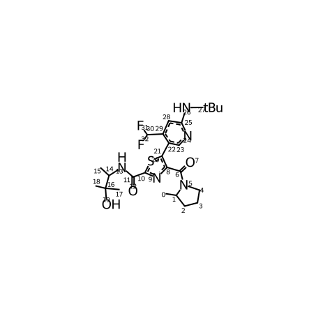 CC1CCCN1C(=O)c1nc(C(=O)NC(C)C(C)(C)O)sc1-c1cnc(NC(C)(C)C)cc1C(F)F